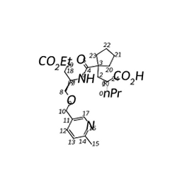 CCC[C@H](CC1(C(=O)N[C@@H](COCc2ccc(C)nc2)CC(=O)OCC)CCCC1)C(=O)O